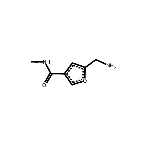 CNC(=O)c1coc(CN)c1